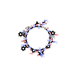 CCCC[C@H]1C(=O)N(C)[C@@H](CCCC)C(=O)N[C@@H](CC2CC2)C(=O)N[C@H](C(=O)NCC(N)=O)CSCC(=O)N[C@@H](Cc2ccc(O)cc2)C(=O)N(C)[C@@H](C)C(=O)N[C@@H](CC(N)=O)C(=O)N2CCC[C@H]2C(=O)N[C@@H](Cc2c[nH]cn2)C(=O)N[C@@H](CCC(N)=O)C(=O)N2C[C@H](O)C[C@H]2C(=O)N[C@@H](Cc2c[nH]c3ccccc23)C(=O)N[C@@H](CO)C(=O)N[C@@H](Cc2c[nH]c3ccccc23)C(=O)N1C